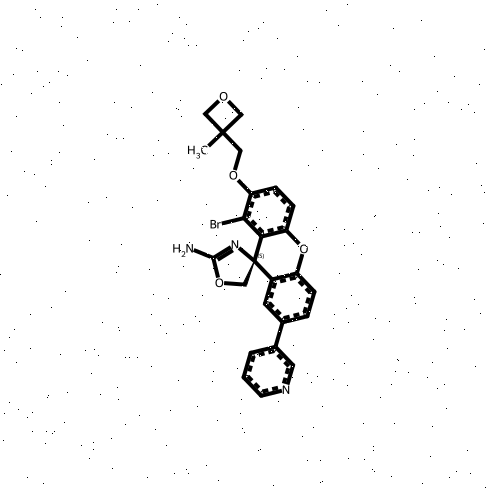 CC1(COc2ccc3c(c2Br)[C@]2(COC(N)=N2)c2cc(-c4cccnc4)ccc2O3)COC1